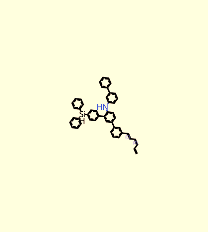 C=C/C=C\C=C\c1cccc(-c2ccc(Nc3cccc(-c4ccccc4)c3)c(-c3ccc([SiH](c4ccccc4)c4ccccc4)cc3)c2)c1